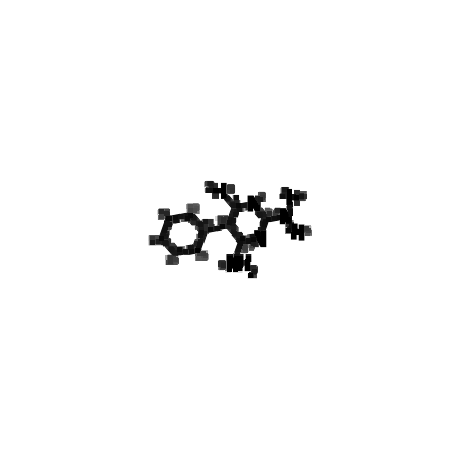 [2H]c1nc(N([2H])[2H])nc(N)c1-c1ccccc1